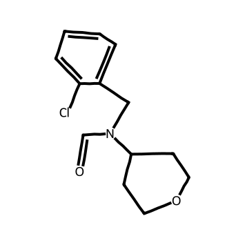 O=CN(Cc1ccccc1Cl)C1CCOCC1